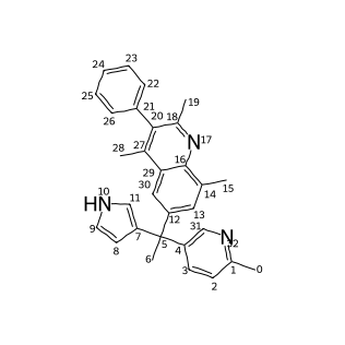 Cc1ccc(C(C)(c2cc[nH]c2)c2cc(C)c3nc(C)c(-c4ccccc4)c(C)c3c2)cn1